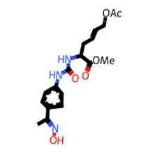 COC(=O)C(CC=CCOC(C)=O)NC(=O)Nc1ccc(C(C)=NO)cc1